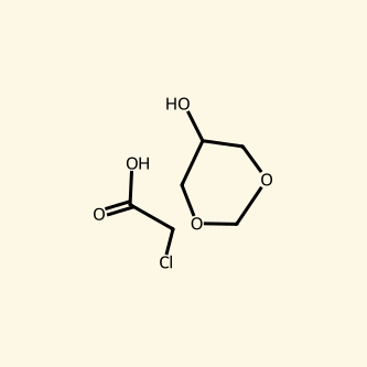 O=C(O)CCl.OC1COCOC1